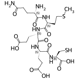 CSCC[C@H](NC(=O)[C@@H](N)CCC(N)=O)C(=O)N[C@@H](CCC(=O)O)C(=O)N[C@@H](CCC(=O)O)C(=O)N[C@@H](CS)C(=O)O